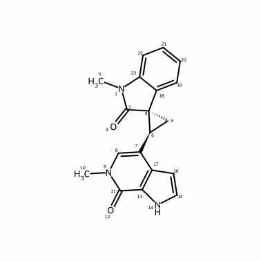 CN1C(=O)[C@@]2(C[C@H]2c2cn(C)c(=O)c3[nH]ccc23)c2ccccc21